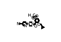 CS(=O)(=O)c1ccc(OCC2CC2)c(C(=O)N2CCN(c3ccc(C#N)cn3)CC2)c1